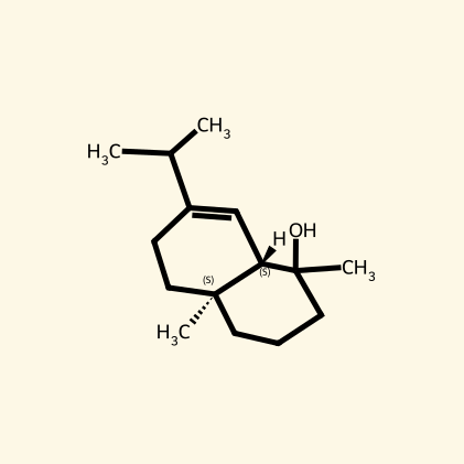 CC(C)C1=C[C@@H]2C(C)(O)CCC[C@@]2(C)CC1